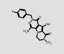 CN1CCn2c(c(O)c3c(=O)n(Cc4ccc(F)cc4)nc(N)c32)C1=O